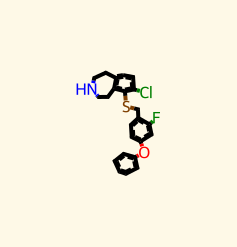 Fc1cc(Oc2ccccc2)ccc1CSc1c(Cl)ccc2c1CCNCC2